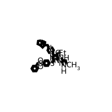 CCOc1c(Nc2cc(C)[nH]n2)nc(Sc2ccc(S(=O)(=O)Cc3ccccc3)cc2)nc1N1CCN(CC23CC4CCC(C2)N43)CC1